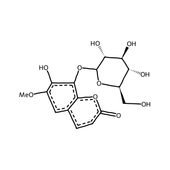 COc1cc2ccc(=O)oc2c(OC2O[C@H](CO)[C@@H](O)[C@H](O)[C@H]2O)c1O